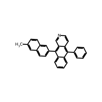 Cc1ccc2cc(-c3c4ccccc4c(-c4ccccc4)c4ccncc34)ccc2c1